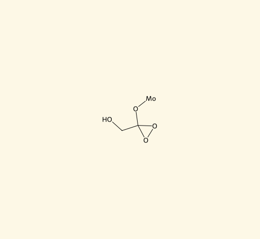 OCC1([O][Mo])OO1